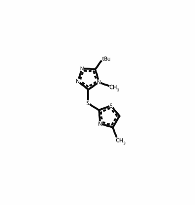 Cc1csc(Sc2nnc(C(C)(C)C)n2C)n1